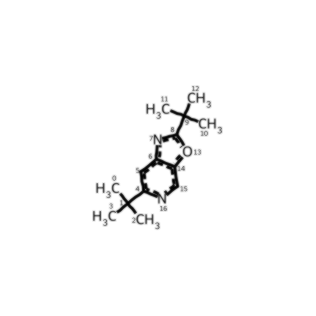 CC(C)(C)c1cc2nc(C(C)(C)C)oc2cn1